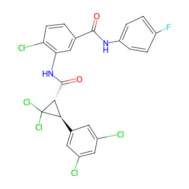 O=C(Nc1ccc(F)cc1)c1ccc(Cl)c(NC(=O)[C@@H]2[C@@H](c3cc(Cl)cc(Cl)c3)C2(Cl)Cl)c1